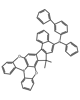 CC1(C)c2cc(N(c3ccccc3)c3cccc(-c4ccccc4)c3)c3ccccc3c2-c2cc3c4c(c21)Oc1ccccc1B4c1ccccc1O3